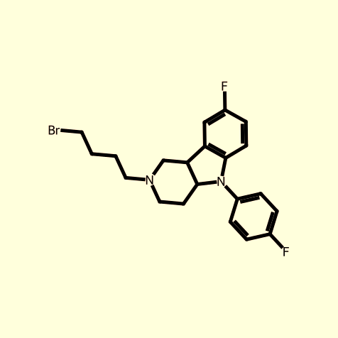 Fc1ccc(N2c3ccc(F)cc3C3CN(CCCCBr)CCC32)cc1